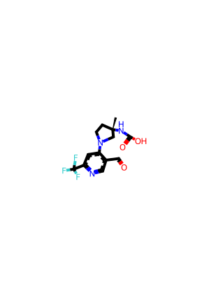 C[C@]1(NC(=O)O)CCN(c2cc(C(F)(F)F)ncc2C=O)C1